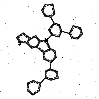 c1ccc(-c2cccc(-c3ccc4c(c3)c3cc5sccc5cc3n4-c3cc(-c4ccccc4)cc(-c4ccccc4)c3)c2)cc1